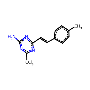 Cc1ccc(C=Cc2nc(N)nc(C(Cl)(Cl)Cl)n2)cc1